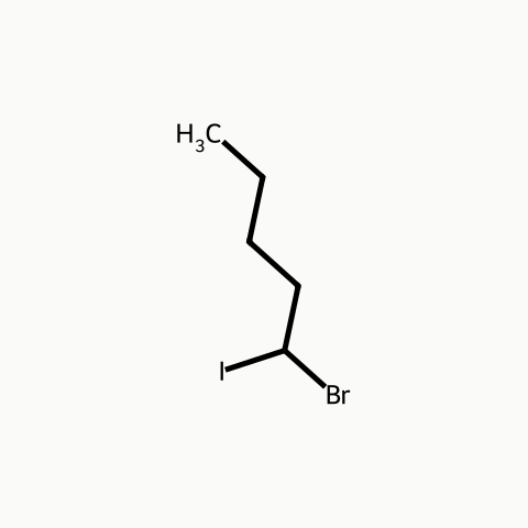 CCCCC(Br)I